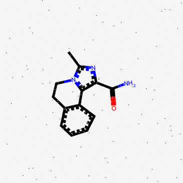 Cc1nc(C(N)=O)c2n1CCc1ccccc1-2